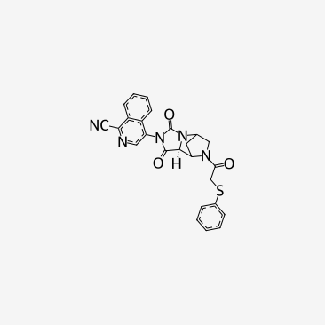 N#Cc1ncc(N2C(=O)[C@@H]3C4CC(CN4C(=O)CSc4ccccc4)N3C2=O)c2ccccc12